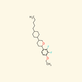 CCCCCC1CCC(C2CCC(c3ccc(OCC)c(F)c3F)OC2)CC1